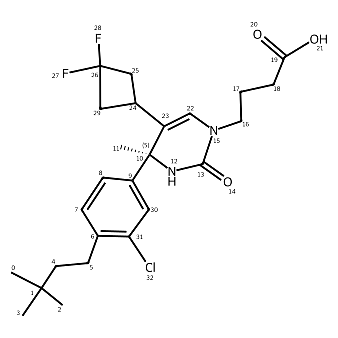 CC(C)(C)CCc1ccc([C@]2(C)NC(=O)N(CCCC(=O)O)C=C2C2CC(F)(F)C2)cc1Cl